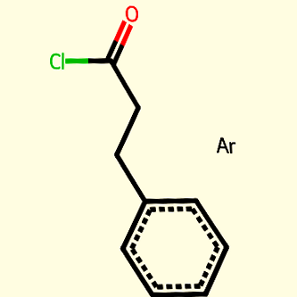 O=C(Cl)CCc1ccccc1.[Ar]